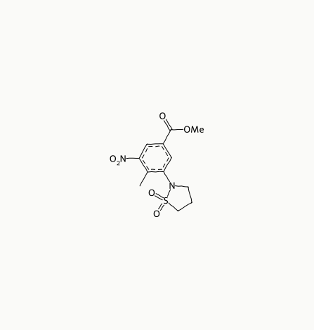 COC(=O)c1cc(N2CCCS2(=O)=O)c(C)c([N+](=O)[O-])c1